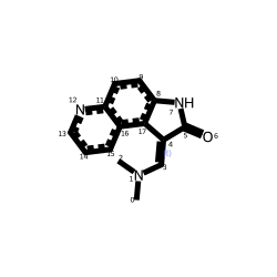 CN(C)/C=C1/C(=O)Nc2ccc3ncccc3c21